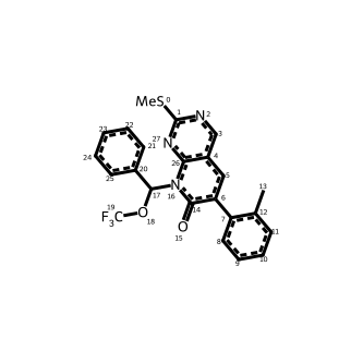 CSc1ncc2cc(-c3ccccc3C)c(=O)n(C(OC(F)(F)F)c3ccccc3)c2n1